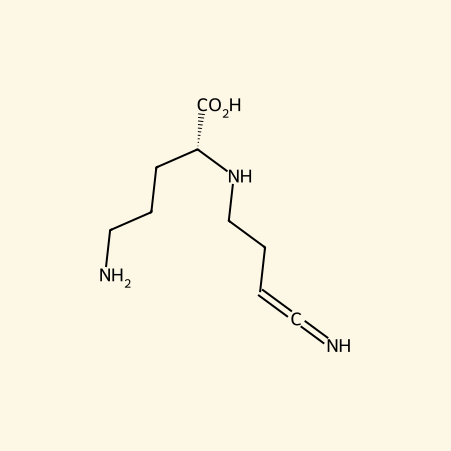 N=C=CCCN[C@H](CCCN)C(=O)O